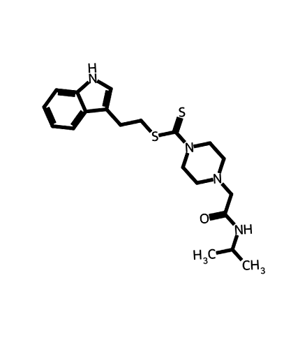 CC(C)NC(=O)CN1CCN(C(=S)SCCc2c[nH]c3ccccc23)CC1